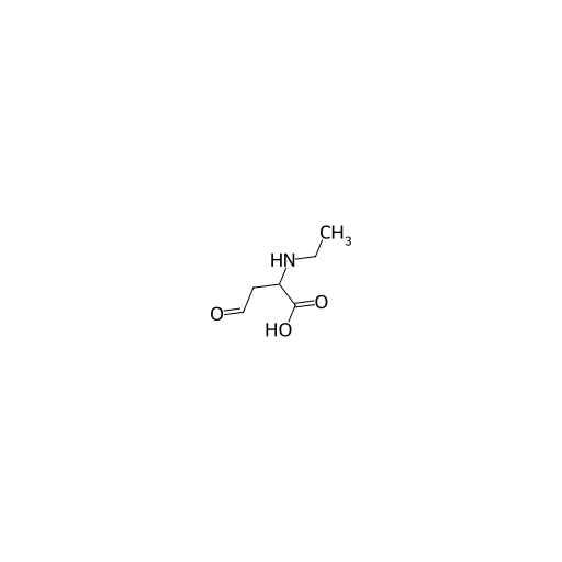 CCNC(CC=O)C(=O)O